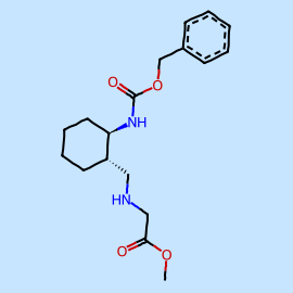 COC(=O)CNC[C@@H]1CCCC[C@H]1NC(=O)OCc1ccccc1